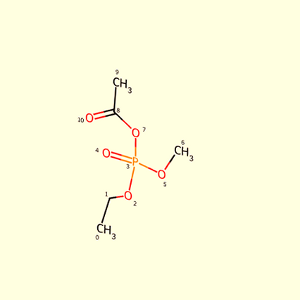 CCOP(=O)(OC)OC(C)=O